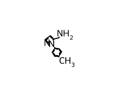 Cc1ccc(-n2nccc2CN)cc1